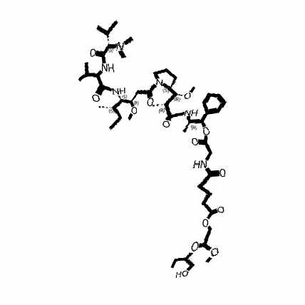 CCC(CO)OC(COC(=O)CCCC(=O)NCC(=O)OC(c1ccccc1)[C@@H](C)NC(=O)[C@H](C)[C@@H](OC)[C@@H]1CCCN1C(=O)C[C@@H](OC)[C@@H](NC(=O)C(NC(=O)[C@H](C(C)C)N(C)C)C(C)C)[C@@H](C)CC)OC